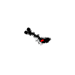 CCC(=O)O[C@]1(C(=O)COCNC(=O)CNC(=O)CNC(=O)CNC(=O)CCN2C(=O)C(Sc3ccccc3)=C(Sc3ccccc3)C2=O)[C@@H](C)CC2[C@@H]3CCC4=CC(=O)C=C[C@]4(C)[C@@]3(Cl)[C@@H](O)C[C@@]21C